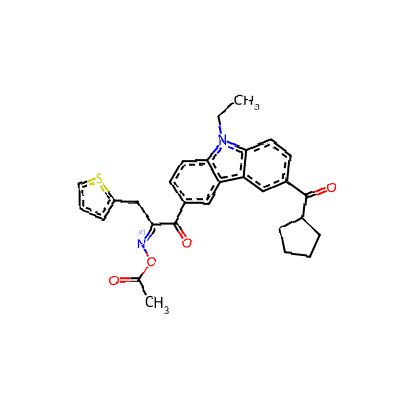 CCn1c2ccc(C(=O)/C(Cc3cccs3)=N\OC(C)=O)cc2c2cc(C(=O)C3CCCC3)ccc21